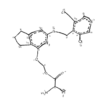 CC(C)C(N)C(=O)OCOc1nc(SCc2c(Cl)cncc2Cl)cc2c1CCC2